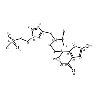 C[C@H]1C[C@@]2(CCN1Cc1cn(CCS(C)(=O)=O)nn1)OCC(=O)c1cc(Cl)sc12